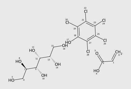 C=CC(=O)O.OC[C@@H](O)[C@@H](O)[C@H](O)[C@@H](O)CO.Oc1c(Cl)c(Cl)c(Cl)c(Cl)c1Cl